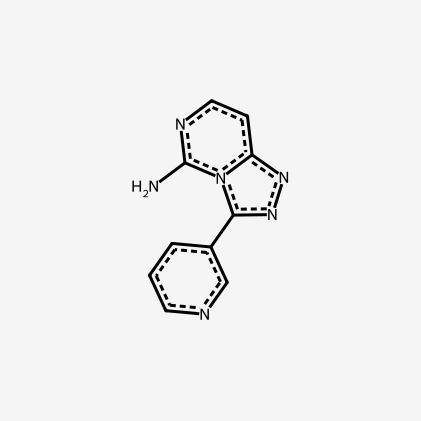 Nc1nccc2nnc(-c3cccnc3)n12